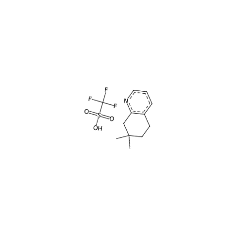 CC1(C)CCc2cccnc2C1.O=S(=O)(O)C(F)(F)F